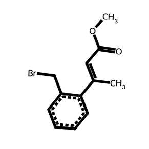 COC(=O)C=C(C)c1ccccc1CBr